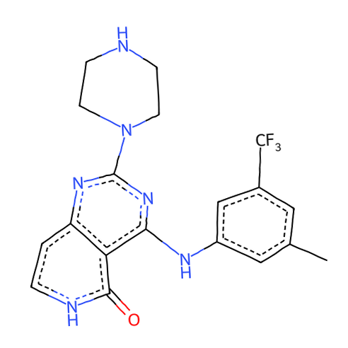 Cc1cc(Nc2nc(N3CCNCC3)nc3cc[nH]c(=O)c23)cc(C(F)(F)F)c1